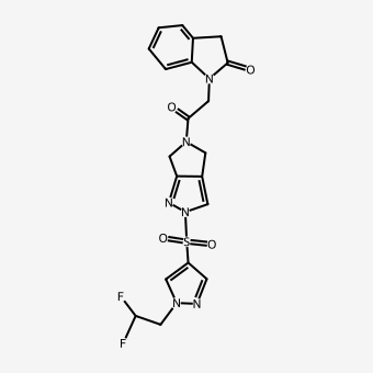 O=C(CN1C(=O)Cc2ccccc21)N1Cc2cn(S(=O)(=O)c3cnn(CC(F)F)c3)nc2C1